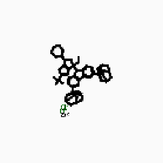 CCC1(C2c3ccc(C45CC6CC(CC(C6)C4)C5)cc3-c3cc(C45CC6CC(CC(C6)C4)C5)ccc32)CC(C2CCCCC2)C2=C1C=C(C(C)(C)C)C2.[Cl-].[Cl-].[Zr+2]